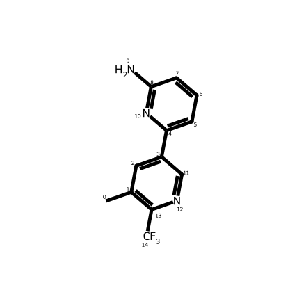 Cc1cc(-c2cccc(N)n2)cnc1C(F)(F)F